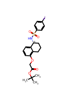 CC(C)(C)OC(=O)COc1cccc2c1CCC[C@H]2NS(=O)(=O)c1ccc(I)cc1